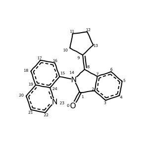 O=C1c2ccccc2C(=C2CCCC2)N1c1cccc2cccnc12